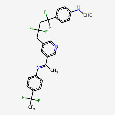 C/C(=N\c1ccc(C(F)(F)C(F)(F)F)cc1)c1cncc(CC(F)(F)CC(F)(F)c2ccc(NC=O)cc2)c1